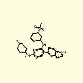 CN1CCC(Nc2ncc(-c3cnc4[nH]ccc4n3)c(N[C@H]3CCCN(S(C)(=O)=O)C3)n2)CC1